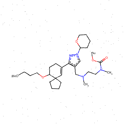 COCCCOC1CCC(c2nn(C3CCCCO3)cc2CN(C)CCN(C)C(=O)OC(C)(C)C)=CC12CCCC2